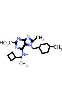 Cc1nc2nc(C(=O)O)nc(N[C@H](C)C3CCC3)c2n1CC1CCC(C)CC1